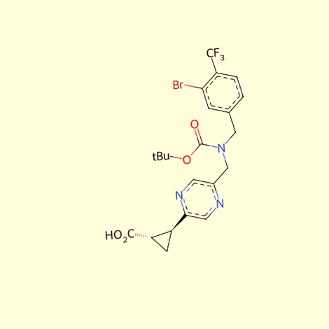 CC(C)(C)OC(=O)N(Cc1ccc(C(F)(F)F)c(Br)c1)Cc1cnc([C@H]2C[C@@H]2C(=O)O)cn1